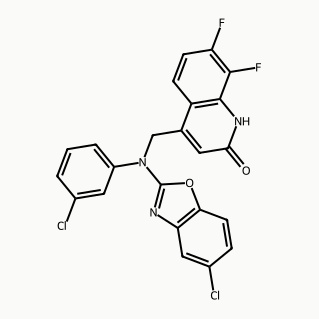 O=c1cc(CN(c2cccc(Cl)c2)c2nc3cc(Cl)ccc3o2)c2ccc(F)c(F)c2[nH]1